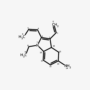 C=CC1=C(/C=C\C)N(CC)C2=CC=C(N)CC21